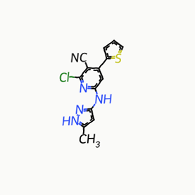 Cc1cc(Nc2cc(-c3cccs3)c(C#N)c(Cl)n2)n[nH]1